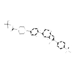 Cn1c(-c2ccc(S(C)(=O)=O)cc2)cc2ncc(-c3ccc(N4CCN(C(=O)OC(C)(C)C)CC4)cc3)cc21